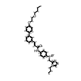 CCCCOCCOc1ccc(-c2cccc(/C=C/C(=O)Nc3ccc([S@@+]([O-])Cc4nncn4CCC)cc3)c2)cc1